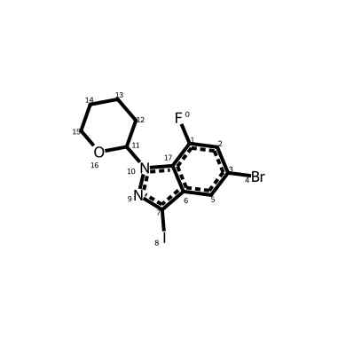 Fc1cc(Br)cc2c(I)nn(C3CCCCO3)c12